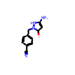 N#Cc1ccc(Cn2[nH]c(N)cc2=O)cc1